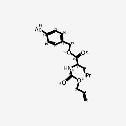 C=CCOC(=O)NC(CC(C)C)C(=O)OCc1ccc(C(C)=O)cc1